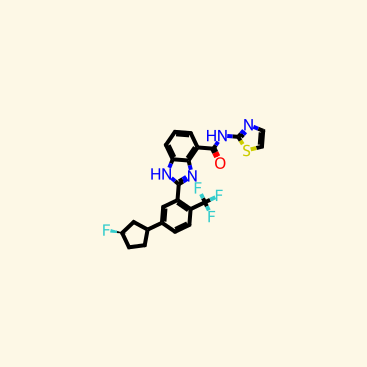 O=C(Nc1nccs1)c1cccc2[nH]c(-c3cc(C4CC[C@@H](F)C4)ccc3C(F)(F)F)nc12